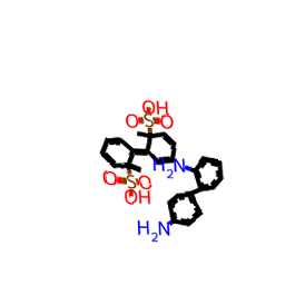 CC1(S(=O)(=O)O)C=CC=CC1=C1C=CC=CC1(C)S(=O)(=O)O.Nc1ccc(-c2ccccc2N)cc1